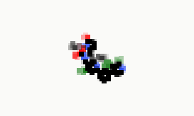 COc1nc(-c2cccc(-c3ccnc(Cl)c3Cl)c2Cl)cc(Cl)c1CN(C[C@@H]1CCC(=O)N1)C(=O)OC(C)(C)C